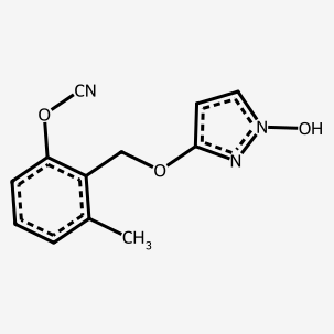 Cc1cccc(OC#N)c1COc1ccn(O)n1